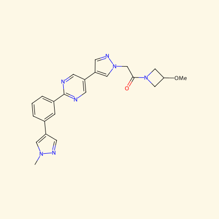 COC1CN(C(=O)Cn2cc(-c3cnc(-c4cccc(-c5cnn(C)c5)c4)nc3)cn2)C1